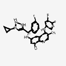 N#Cc1cnc2c(Cl)cc(N[C@H](C3=CN(C4CC4)NN3)c3cccc(F)c3)cc2c1Nc1cnc(F)c(F)c1